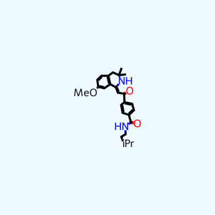 COc1ccc2c(c1)C(=CC(=O)c1ccc(C(=O)NCCC(C)C)cc1)NC(C)(C)C2